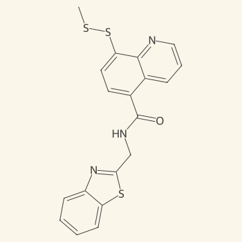 CSSc1ccc(C(=O)NCc2nc3ccccc3s2)c2cccnc12